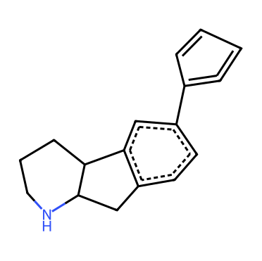 C1=CC=CC=1c1ccc2c(c1)C1CCCNC1C2